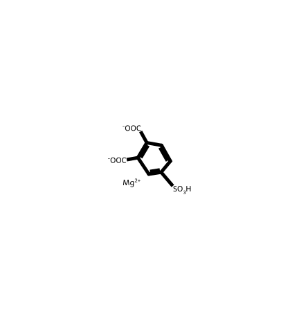 O=C([O-])c1ccc(S(=O)(=O)O)cc1C(=O)[O-].[Mg+2]